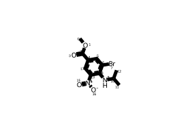 COC(=O)c1cc(Br)c(NC(C)C)c([N+](=O)[O-])c1